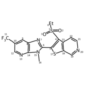 CCS(=O)(=O)c1c(-c2nc3cc(C(F)(F)F)cnc3n2C)sc2cnccc12